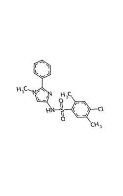 Cc1cc(S(=O)(=O)Nc2cn(C)c(-c3ccccc3)n2)c(C)cc1Cl